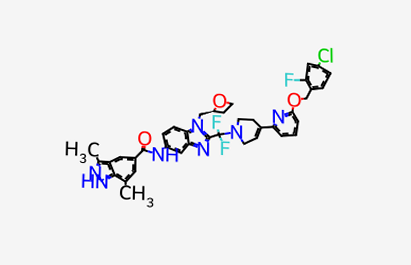 Cc1n[nH]c2c(C)cc(C(=O)Nc3ccc4c(c3)nc(C(F)(F)N3CC=C(c5cccc(OCc6ccc(Cl)cc6F)n5)CC3)n4C[C@@H]3CCO3)cc12